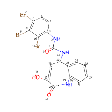 O=C(Nc1ccc(Br)c(Br)c1Br)NC1C=C(O)C(=O)Nc2ccccc21